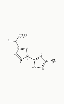 CCOC(=O)C(C)c1cnn(-c2nc(C#N)cs2)c1